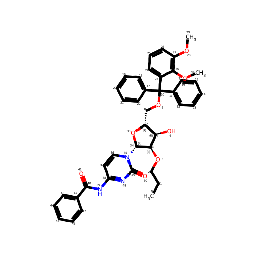 CCCO[C@@H]1[C@H](O)[C@@H](COC(c2ccccc2)(c2ccccc2)c2cccc(OC)c2OC)O[C@H]1n1ccc(NC(=O)c2ccccc2)nc1=O